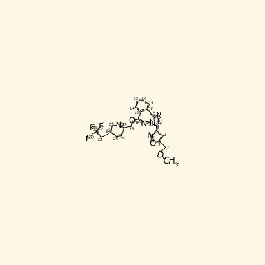 COCc1cc(-c2nnc3c4ccccc4c(OCC4=NCC(CC(F)(F)F)C=C4)nn23)no1